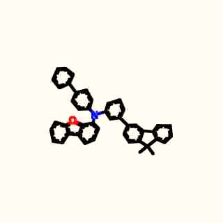 CC1(C)c2ccccc2-c2cc(-c3cccc(N(c4ccc(-c5ccccc5)cc4)c4cccc5c4oc4ccccc45)c3)ccc21